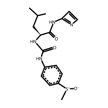 CC(C)C[C@H](NC(=O)Nc1ccc([S+](C)[O-])cc1)C(=O)NC1=NC=C1